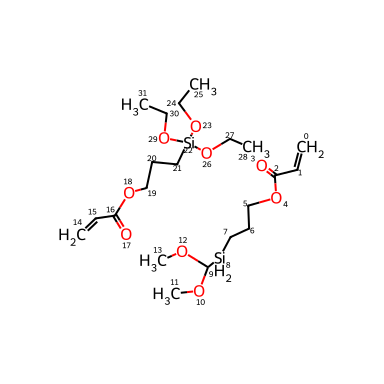 C=CC(=O)OCCC[SiH2]C(OC)OC.C=CC(=O)OCCC[Si](OCC)(OCC)OCC